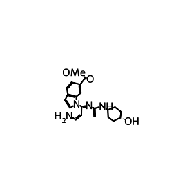 C=C(/N=C(\C=C/N)n1ccc2ccc(C(=O)OC)cc21)N[C@H]1CC[C@H](O)CC1